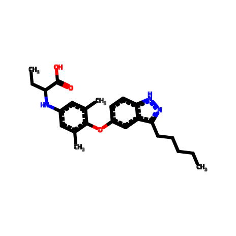 CCCCCc1n[nH]c2ccc(Oc3c(C)cc(NC(CC)C(=O)O)cc3C)cc12